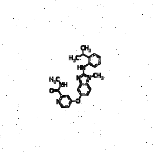 CNC(=O)c1cc(Oc2ccc3c(c2)nc(Nc2ccccc2C(C)C)n3C)ccn1